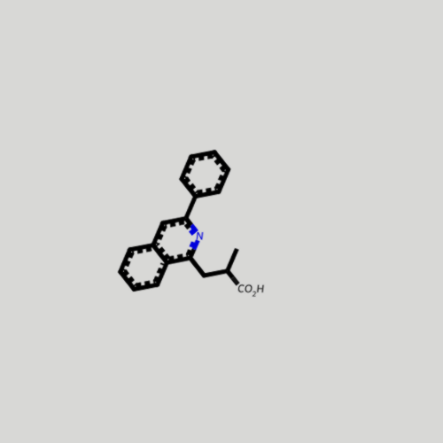 CC(Cc1nc(-c2ccccc2)cc2ccccc12)C(=O)O